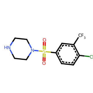 O=S(=O)(c1ccc(Cl)c(C(F)(F)F)c1)N1CCNCC1